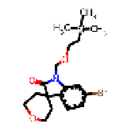 C[Si](C)(C)CCOCN1C(=O)C2(CCOCC2)c2ccc(Br)cc21